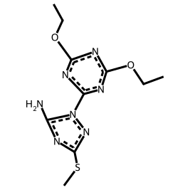 CCOc1nc(OCC)nc(-n2nc(SC)nc2N)n1